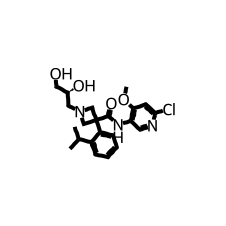 COc1cc(Cl)ncc1NC(=O)C1(c2ccccc2C(C)C)CN(C[C@@H](O)CO)C1